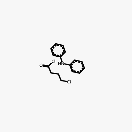 O=C(Cl)CCCCl.c1ccc(Nc2ccccc2)cc1